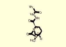 CC(C)C(=O)NNC(=O)[C@H]1CC[C@H]2CN1C(=O)N2O